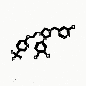 FC(F)(F)c1ccc(OCC[C@@H]2CN(Cc3ccnc(Cl)c3)C[C@@H]2c2ccc(Cl)c(Cl)c2)nc1